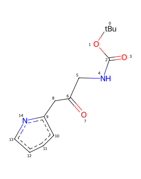 CC(C)(C)OC(=O)NCC(=O)Cc1ccccn1